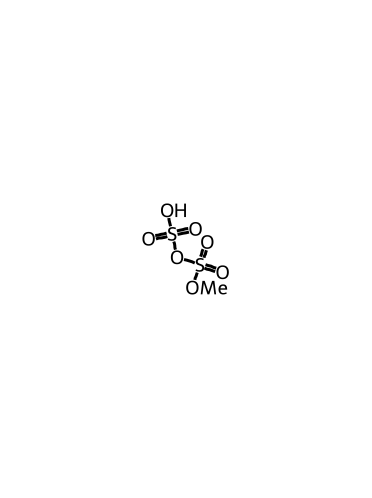 COS(=O)(=O)OS(=O)(=O)O